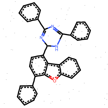 c1ccc(C2=NC(c3ccc(-c4ccccc4)c4oc5ccccc5c34)NC(c3ccccc3)=N2)cc1